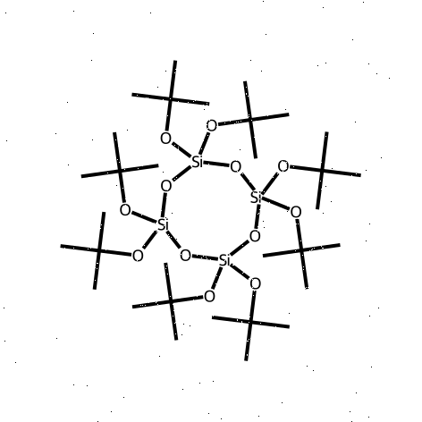 CC(C)(C)O[Si]1(OC(C)(C)C)O[Si](OC(C)(C)C)(OC(C)(C)C)O[Si](OC(C)(C)C)(OC(C)(C)C)O[Si](OC(C)(C)C)(OC(C)(C)C)O1